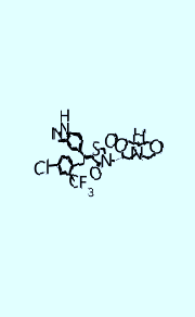 O=C1S/C(=C(/Cc2ccc(Cl)cc2C(F)(F)F)c2ccc3[nH]ncc3c2)C(=O)N1C[C@H]1CN2CCOC[C@H]2CO1